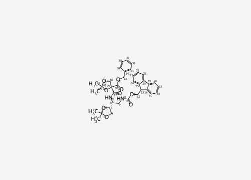 CC1(C)OC[C@@H](C(CNC(=O)OCC2c3ccccc3-c3ccccc32)NC(=O)[C@]2(C(=O)OCc3ccccc3)COC(C)(C)O2)O1